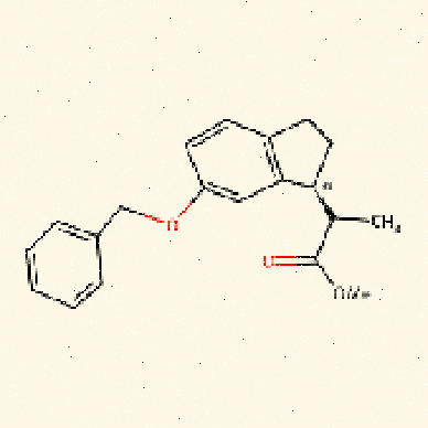 COC(=O)C(C)[C@@H]1CCc2ccc(OCc3ccccc3)cc21